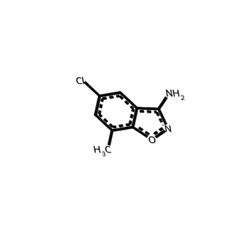 Cc1cc(Cl)cc2c(N)noc12